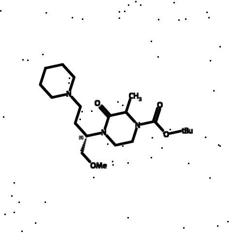 COC[C@H](CCN1CCCCC1)N1CCN(C(=O)OC(C)(C)C)C(C)C1=O